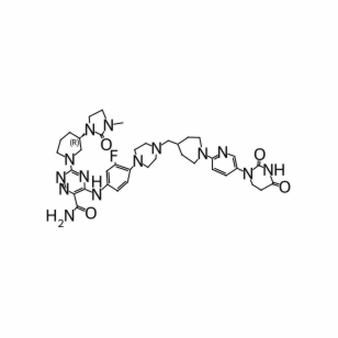 CN1CCN([C@@H]2CCCN(c3nnc(C(N)=O)c(Nc4ccc(N5CCN(CC6CCN(c7ccc(N8CCC(=O)NC8=O)cn7)CC6)CC5)c(F)c4)n3)C2)C1=O